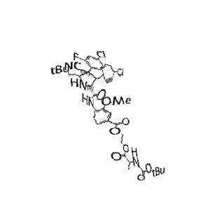 COc1cc(C(=O)OCCOC(=O)C(C)NC(=O)OC(C)(C)C)ccc1NC(=O)[C@@H]1NC(CC(C)(C)C)[C@](C#N)(c2ccc(Cl)cc2F)C1C1C#CC(Cl)=CC=C1